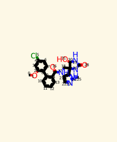 COc1cc(Cl)ccc1-c1ccccc1C(=O)NCC1(c2ccnn2C)NC(=O)NC1O